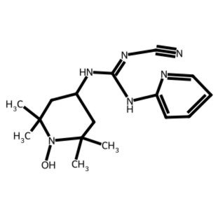 CC1(C)CC(N/C(=N/C#N)Nc2ccccn2)CC(C)(C)N1O